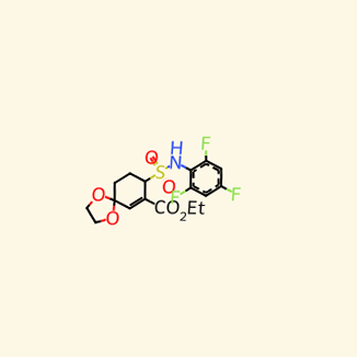 CCOC(=O)C1=CC2(CCC1S(=O)(=O)Nc1c(F)cc(F)cc1F)OCCO2